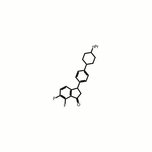 CCCC1CCC(c2ccc(C3CC(=O)c4c3ccc(F)c4F)cc2)CC1